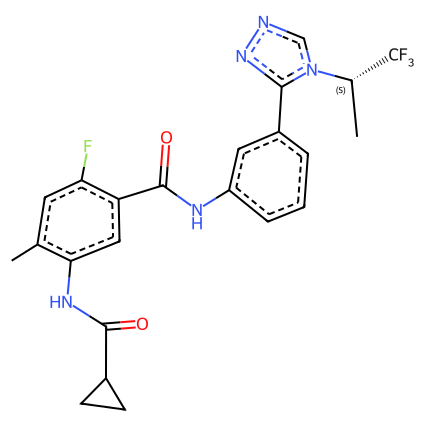 Cc1cc(F)c(C(=O)Nc2cccc(-c3nncn3[C@@H](C)C(F)(F)F)c2)cc1NC(=O)C1CC1